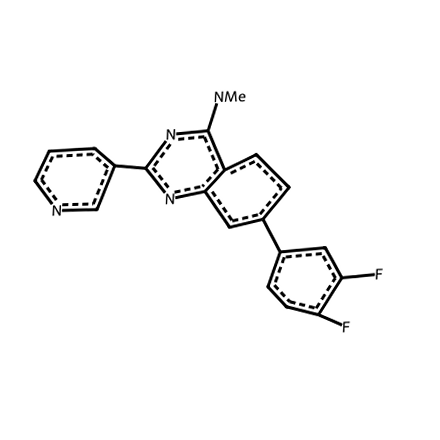 CNc1nc(-c2cccnc2)nc2cc(-c3ccc(F)c(F)c3)ccc12